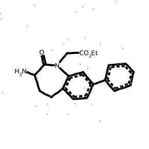 CCOC(=O)CN1C(=O)C(N)CCc2ccc(-c3ccccc3)cc21